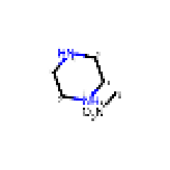 C1CNCCN1.C[N+](=O)[O-]